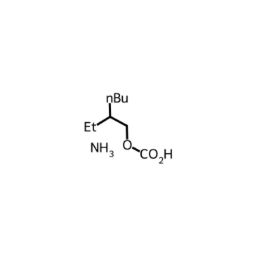 CCCCC(CC)COC(=O)O.N